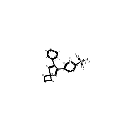 NS(=O)(=O)c1ccc(C2=CC3(C=C2c2ccccc2)CCC3)cn1